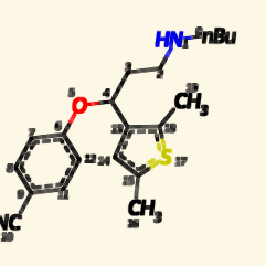 CCCCNCCC(Oc1ccc(C#N)cc1)c1cc(C)sc1C